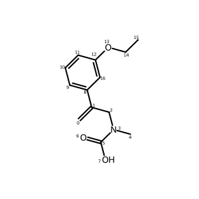 C=C(CN(C)C(=O)O)c1cccc(OCC)c1